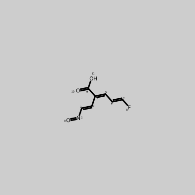 O=N/C=C/C(=C\C=C\F)C(=O)O